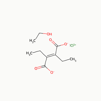 CCC(C(=O)[O-])=C(CC)C(=O)[O-].CCO.[Cl+2]